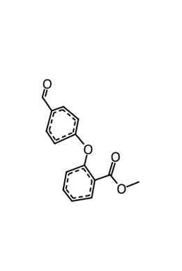 COC(=O)c1ccccc1Oc1ccc(C=O)cc1